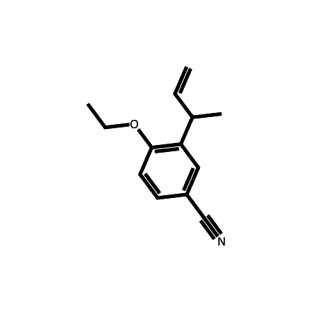 C=C[C](C)c1cc(C#N)ccc1OCC